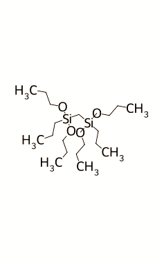 CCCO[Si](CCC)(C[Si](CCC)(OCCC)OCCC)OCCC